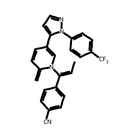 C=C1C=CC(c2ccnn2-c2ccc(C(F)(F)F)cc2)=CN1/C(=C\C)c1ccc(C#N)cc1